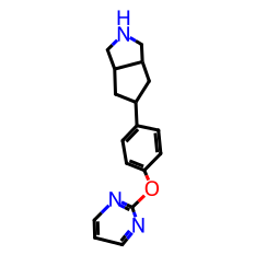 c1cnc(Oc2ccc(C3CC4CNCC4C3)cc2)nc1